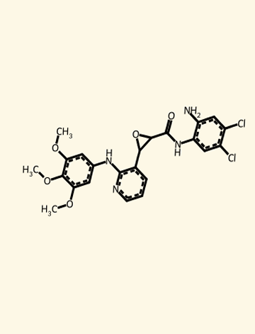 COc1cc(Nc2ncccc2C2OC2C(=O)Nc2cc(Cl)c(Cl)cc2N)cc(OC)c1OC